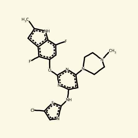 Cc1cc2c(F)c(Oc3nc(Nc4ncc(Cl)s4)cc(N4CCN(C)CC4)n3)cc(F)c2[nH]1